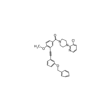 COc1ccc(C(=O)N2CCN(c3ncccc3Cl)CC2)cc1C#Cc1cccc(OCc2ccccc2)c1